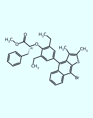 CCc1cc(-c2c3ccccc3c(Br)c3sc(C)c(C)c23)cc(CC)c1O[C@H](Cc1ccccc1)C(=O)OC